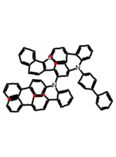 c1ccc(-c2ccc(-c3ccccc3N(c3ccc(-c4ccccc4)cc3)c3cc(N(c4ccc(-c5ccccc5)cc4)c4ccccc4-c4ccccc4)cc4oc5c6ccccc6ccc5c34)cc2)cc1